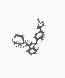 Cn1cc(-c2ccc(Cn3cc(C(=O)N[C@H]4CCOC[C@@H]4O)c4c(F)ccc(F)c43)c(F)c2)cn1